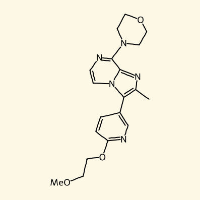 COCCOc1ccc(-c2c(C)nc3c(N4CCOCC4)nccn23)cn1